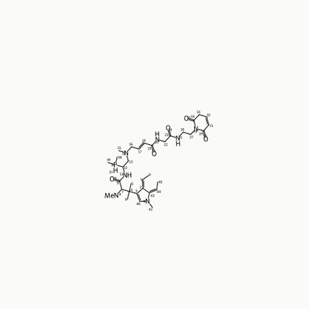 C/C=c1/c(C(C)(C)C(NC)C(=O)NC(CN(C)C/C=C/C(=O)NCC(=O)NCCN2C(=O)C=CCC2=O)[PH](C)(C)C)cn(C)/c1=C/C